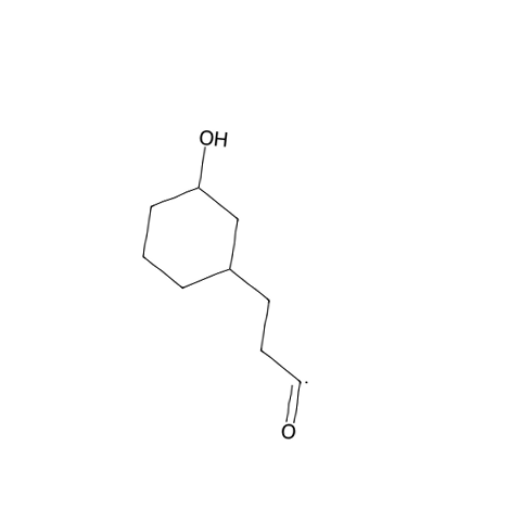 O=[C]CCC1CCCC(O)C1